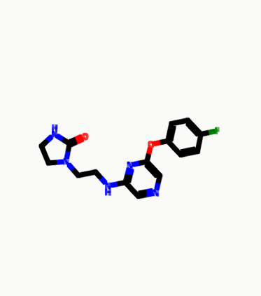 O=C1NCCN1CCNc1cncc(Oc2ccc(F)cc2)n1